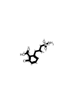 NS(=O)(=O)CC(F)Cc1cccc(Cl)c1C(=O)O